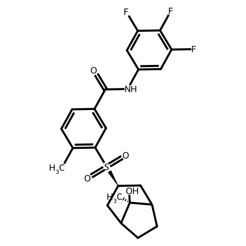 Cc1ccc(C(=O)Nc2cc(F)c(F)c(F)c2)cc1S(=O)(=O)[C@H]1CC2CCC(C1)[C@@]2(C)O